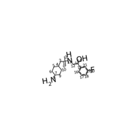 CC(C)(CC1CCC(N)CC1)NCC(O)c1cccc(F)c1